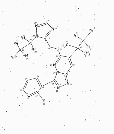 [2H]C([2H])([2H])C(C)(C)c1cc2nnc(-c3ccccc3F)n2nc1OCc1ncnn1C([2H])([2H])C([2H])([2H])[2H]